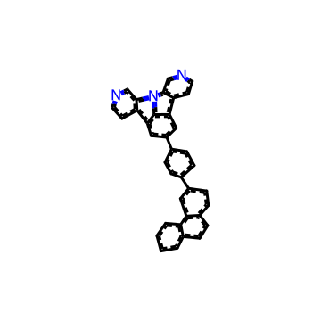 c1ccc2c(c1)ccc1ccc(-c3ccc(-c4cc5c6ccncc6n6c7cnccc7c(c4)c56)cc3)cc12